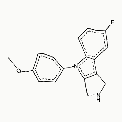 COc1ccc(-n2c3c(c4cc(F)ccc42)CNC3)cc1